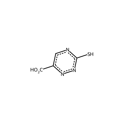 O=C(O)c1cnc(S)nn1